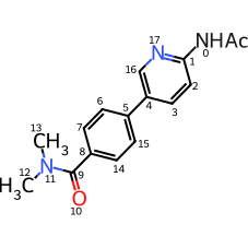 CC(=O)Nc1ccc(-c2ccc(C(=O)N(C)C)cc2)cn1